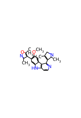 COc1cc2c(cc1-c1c(C)noc1C)[nH]c1ccnc(C3=C(C)CN=C3C)c12